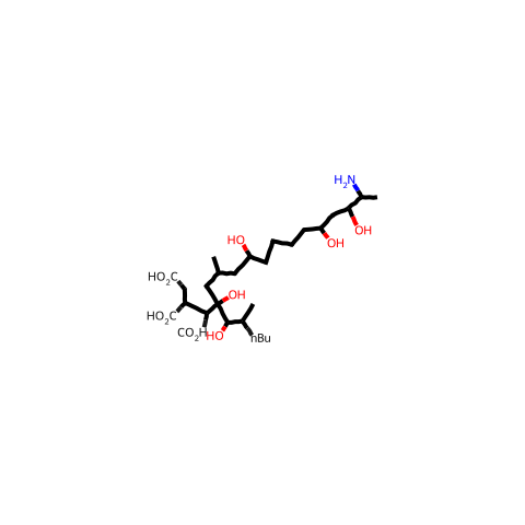 CCCCC(C)C(O)C(O)(CC(C)CC(O)CCCCC(O)CC(O)C(C)N)C(C(=O)O)C(CC(=O)O)C(=O)O